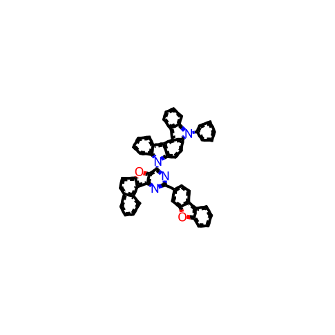 c1ccc(-n2c3ccccc3c3c4c5ccccc5n(-c5nc(-c6ccc7c(c6)oc6ccccc67)nc6c5oc5ccc7ccccc7c56)c4ccc32)cc1